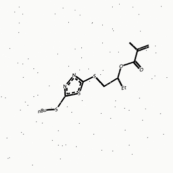 C=C(C)C(=O)OC(CC)CSc1nnc(SCCCC)s1